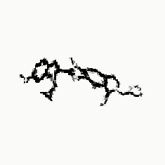 COc1ccc2cc(-c3nc4cc5c(cc4n3C)CCN(C[C@H](N)CF)C5=O)n(CC3CC3)c2c1